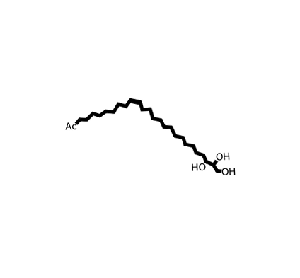 CC(=O)CCCCCCCC/C=C\CCCCCCCCCCCCC(O)C(O)CO